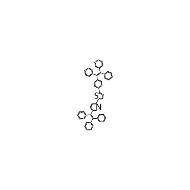 c1ccc(C(=C(c2ccccc2)c2ccc(-c3ccc(-c4ccc(C(=C(c5ccccc5)c5ccccc5)c5ccccc5)cn4)s3)cc2)c2ccccc2)cc1